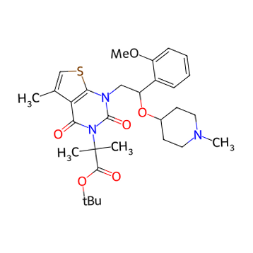 COc1ccccc1C(Cn1c(=O)n(C(C)(C)C(=O)OC(C)(C)C)c(=O)c2c(C)csc21)OC1CCN(C)CC1